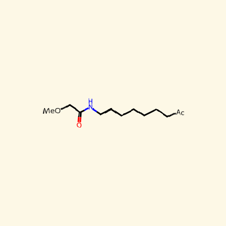 COCC(=O)NCCCCCCCC(C)=O